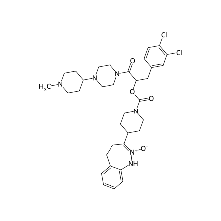 CN1CCC(N2CCN(C(=O)C(Cc3ccc(Cl)c(Cl)c3)OC(=O)N3CCC(C4=[N+]([O-])Nc5ccccc5CC4)CC3)CC2)CC1